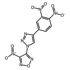 O=[N+]([O-])c1ccc(-c2cn(-c3nonc3[N+](=O)[O-])nn2)cc1[N+](=O)[O-]